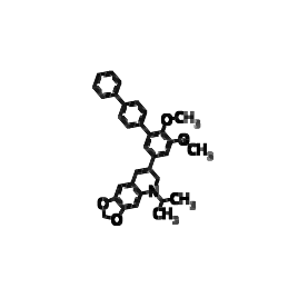 COc1cc(C2=Cc3cc4c(cc3N(C(C)C)C2)OCO4)cc(-c2ccc(-c3ccccc3)cc2)c1OC